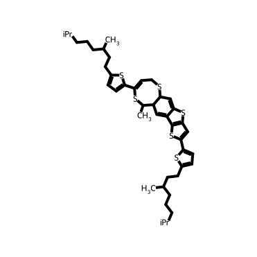 CC(C)CCCC(C)CCc1ccc(/C2=C/CSC3C=c4sc5cc(-c6ccc(CCC(C)CCCC(C)C)s6)sc5c4=CC3C(C)S2)s1